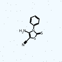 N#Cc1sc(=S)n(-c2ccccc2)c1N